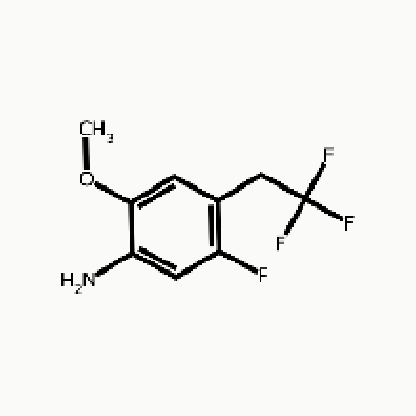 COc1cc(CC(F)(F)F)c(F)cc1N